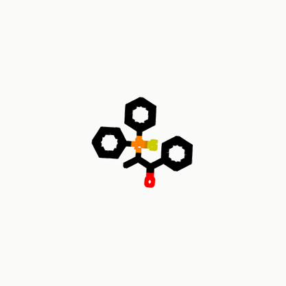 CC(C(=O)c1ccccc1)P(=S)(c1ccccc1)c1ccccc1